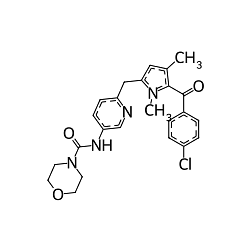 Cc1cc(Cc2ccc(NC(=O)N3CCOCC3)cn2)n(C)c1C(=O)c1ccc(Cl)cc1